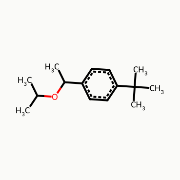 CC(C)OC(C)c1ccc(C(C)(C)C)cc1